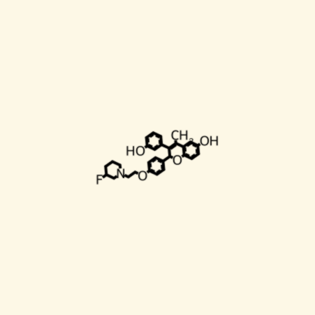 CC1=C(c2cccc(O)c2)C(c2ccc(OCCN3CCCC(F)C3)cc2)Oc2ccc(O)cc21